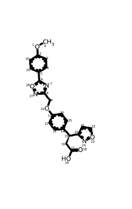 COc1ccc(-c2nc(COc3ccc([C@H](CC(=O)O)c4ccon4)cc3)no2)cc1